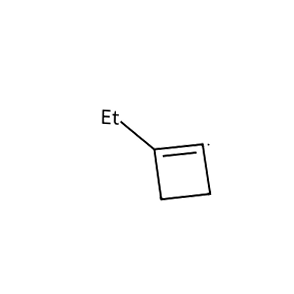 CCC1=[C]CC1